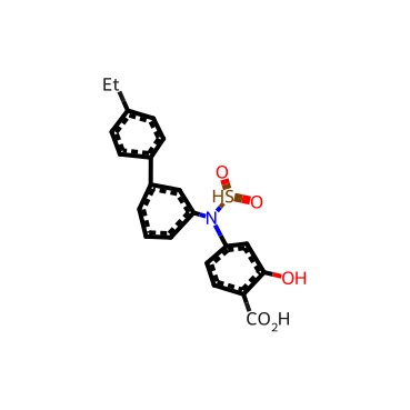 CCc1ccc(-c2cccc(N(c3ccc(C(=O)O)c(O)c3)[SH](=O)=O)c2)cc1